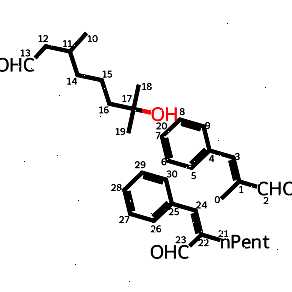 CC(C=O)=Cc1ccccc1.CC(CC=O)CCCC(C)(C)O.CCCCCC(C=O)=Cc1ccccc1